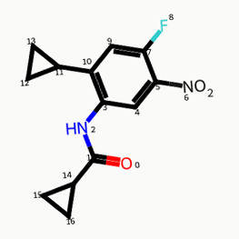 O=C(Nc1cc([N+](=O)[O-])c(F)cc1C1CC1)C1CC1